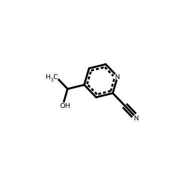 CC(O)c1ccnc(C#N)c1